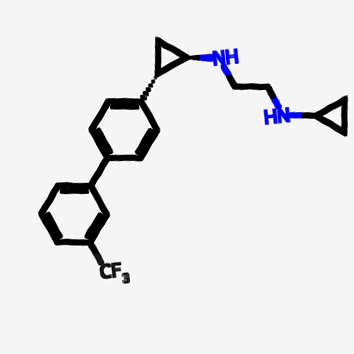 FC(F)(F)c1cccc(-c2ccc([C@@H]3C[C@H]3NCCNC3CC3)cc2)c1